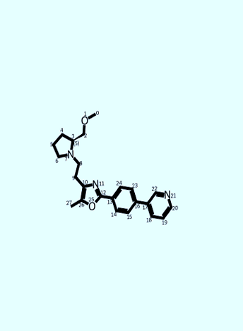 COC[C@@H]1CCCN1CCc1nc(-c2ccc(-c3cccnc3)cc2)oc1C